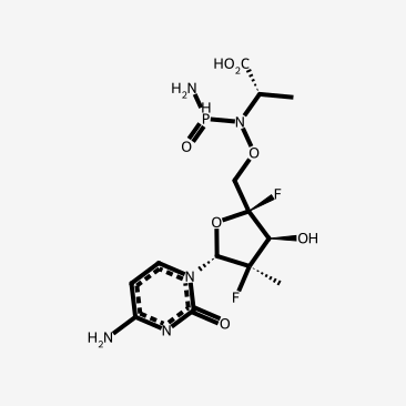 C[C@@H](C(=O)O)N(OC[C@@]1(F)O[C@@H](n2ccc(N)nc2=O)[C@](C)(F)[C@@H]1O)[PH](N)=O